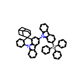 c1ccc([Si](c2ccccc2)(c2ccccc2)c2ccc3c4ccccc4n(-c4cc5c6c(c4)c4ccccc4n6-c4ccccc4C54C5CC6CC(C5)CC4C6)c3c2)cc1